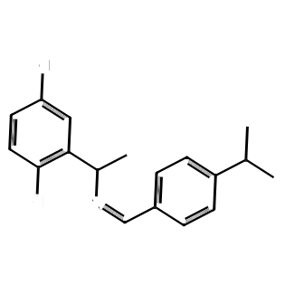 CC(C)c1ccc(/C=N\C(C)c2cc(Cl)ccc2Cl)cc1